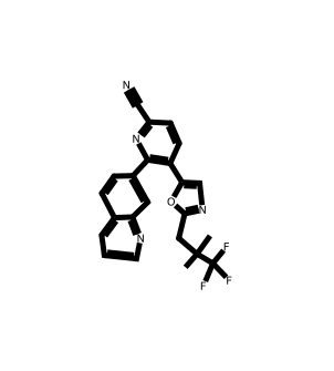 CC(C)(Cc1ncc(-c2ccc(C#N)nc2-c2ccc3cccnc3c2)o1)C(F)(F)F